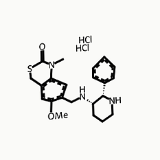 COc1cc2c(cc1CN[C@H]1CCCN[C@H]1c1ccccc1)N(C)C(=O)SC2.Cl.Cl